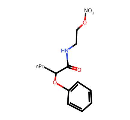 CCCC(Oc1ccccc1)C(=O)NCCO[N+](=O)[O-]